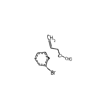 Brc1ccccc1.C=CCOC=O